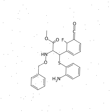 COC(=O)C(NOCc1ccccc1)C(Sc1ccccc1N)C1=CC=CC(=C=O)C1F